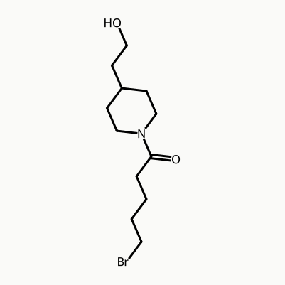 O=C(CCCCBr)N1CCC(CCO)CC1